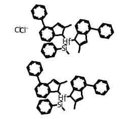 CC1=Cc2c(-c3ccccc3)cccc2[CH]1[Hf]([CH]1C(C)=Cc2c(-c3ccccc3)cccc21)=[Si](C)c1ccccc1.CC1=Cc2c(-c3ccccc3)cccc2[CH]1[Hf]([CH]1C(C)=Cc2c(-c3ccccc3)cccc21)=[Si](C)c1ccccc1.[Cl-].[Cl-]